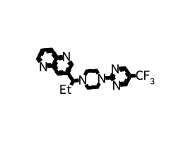 CCC(c1cnc2cccnc2c1)N1CCN(c2ncc(C(F)(F)F)cn2)CC1